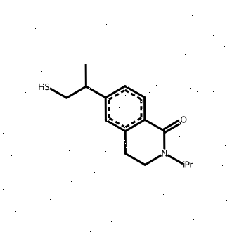 CC(CS)c1ccc2c(c1)CCN(C(C)C)C2=O